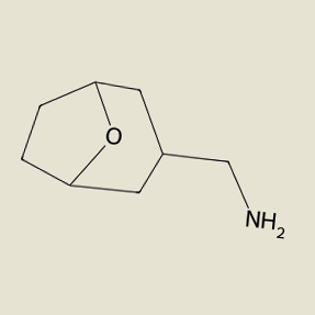 NCC1CC2CCC(C1)O2